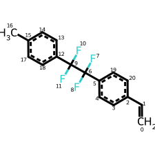 C=Cc1ccc(C(F)(F)C(F)(F)c2ccc(C)cc2)cc1